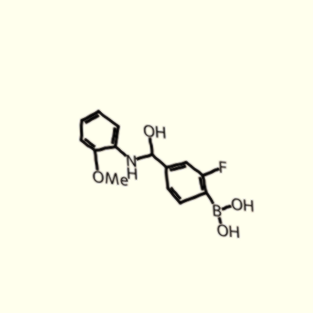 COc1ccccc1NC(O)c1ccc(B(O)O)c(F)c1